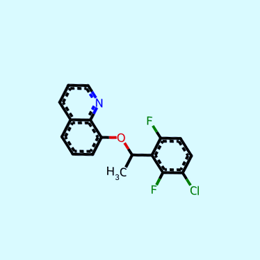 CC(Oc1cccc2cccnc12)c1c(F)ccc(Cl)c1F